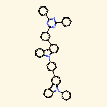 c1ccc(-c2nc(-c3ccccc3)nc(-c3cccc(-c4cccc5c4c4ccccc4n5-c4ccc(-c5ccc6c(c5)c5ccccc5n6-c5ccccc5)cc4)c3)n2)cc1